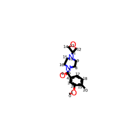 COc1cc(C(=O)N2CCN(C3COC3)CC2)ccc1C